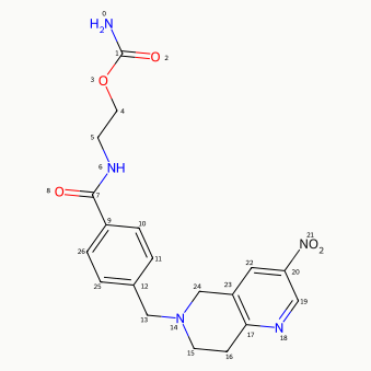 NC(=O)OCCNC(=O)c1ccc(CN2CCc3ncc([N+](=O)[O-])cc3C2)cc1